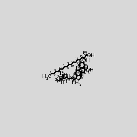 CCCCCCCCCCCCCCCC=CC(=O)O.[2H]C([2H])([2H])C([2H])(CCC[C@@H](C)[C@H]1CC[C@H]2[C@@H]3C[C@H](O)[C@H]4CC(O)CC[C@]4(C)[C@H]3CC[C@]12C)C([2H])([2H])[2H]